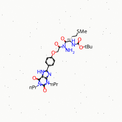 CCCn1c(=O)c2[nH]c(-c3ccc(OCC(=O)N(N)C(=O)[C@H](CCSC)NC(=O)OC(C)(C)C)cc3)nc2n(CCC)c1=O